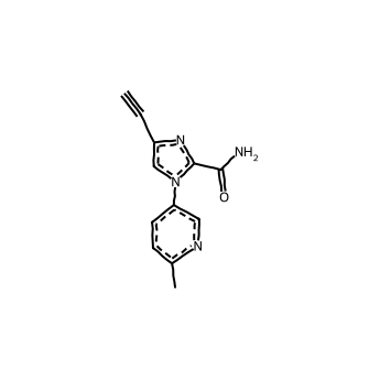 C#Cc1cn(-c2ccc(C)nc2)c(C(N)=O)n1